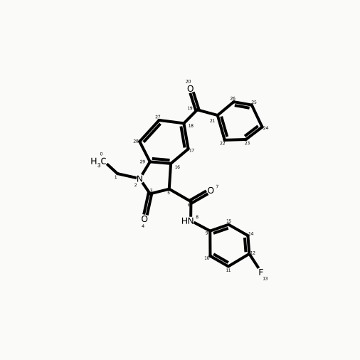 CCN1C(=O)C(C(=O)Nc2ccc(F)cc2)c2cc(C(=O)c3ccccc3)ccc21